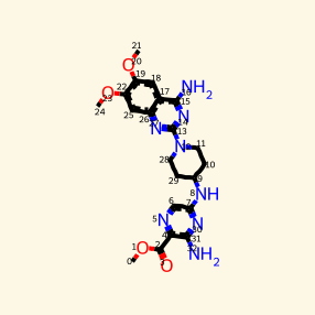 COC(=O)c1ncc(NC2CCN(c3nc(N)c4cc(OC)c(OC)cc4n3)CC2)nc1N